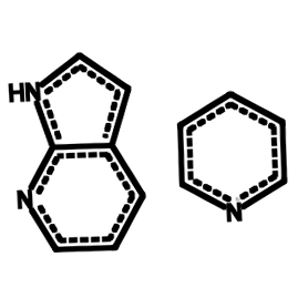 c1ccncc1.c1cnc2[nH]ccc2c1